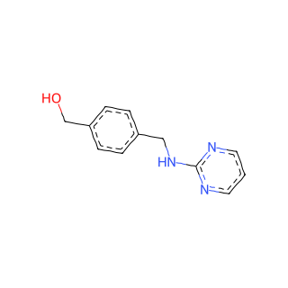 OCc1ccc(CNc2ncccn2)cc1